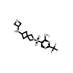 Cc1nc(C(F)(F)F)ncc1S(=O)(=O)N1CC2(CC(NC3COC3)C2)C1